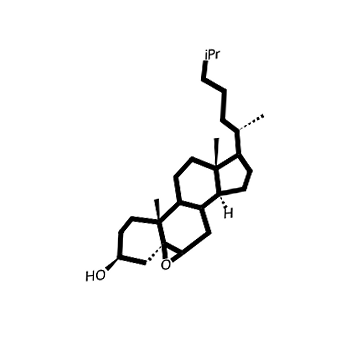 CC(C)CCC[C@H](C)C1CC[C@H]2C3CC4O[C@]45C[C@@H](O)CC[C@]5(C)C3CC[C@]12C